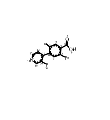 Cc1cc(C(=O)O)c(F)cc1-c1ccncc1F